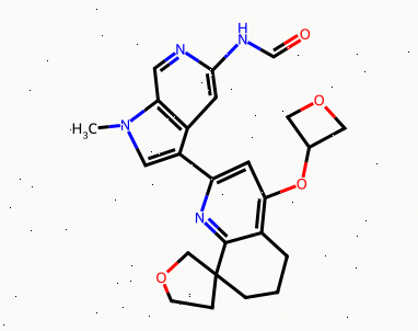 Cn1cc(-c2cc(OC3COC3)c3c(n2)C2(CCC3)CCOC2)c2cc(NC=O)ncc21